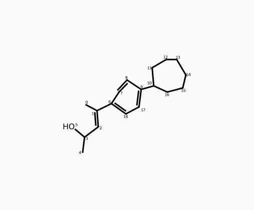 CC(=CC(C)O)c1ccc(C2CCCCCC2)cc1